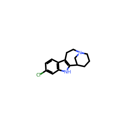 Clc1ccc2c3c([nH]c2c1)C1CCCN(CC3)C1